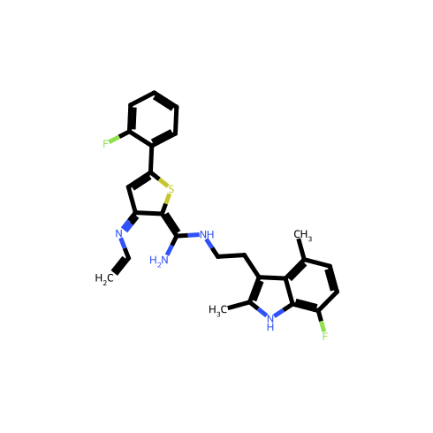 C=C/N=C1/C=C(c2ccccc2F)S/C1=C(/N)NCCc1c(C)[nH]c2c(F)ccc(C)c12